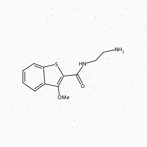 COc1c(C(=O)NCCN)sc2ccccc12